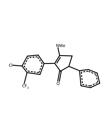 CNC1=C(c2ccc(Cl)c(C(F)(F)F)c2)C(=O)C(c2ccccc2)C1